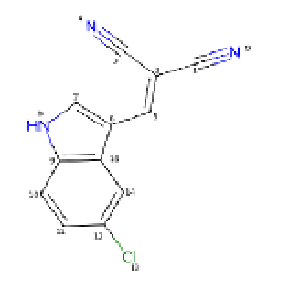 N#CC(C#N)=Cc1c[nH]c2ccc(Cl)cc12